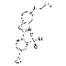 CCS(=O)(=O)c1cc(C2CC2)cnc1-c1nc2cc(OCC(F)(F)F)ccc2o1